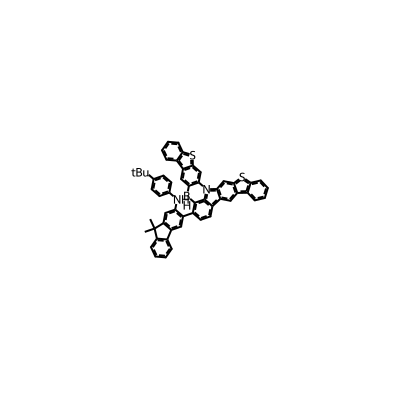 CC(C)(C)c1ccc(Nc2cc3c(cc2-c2ccc4c5cc6c(cc5n5c4c2Bc2cc4c(cc2-5)sc2ccccc24)sc2ccccc26)-c2ccccc2C3(C)C)cc1